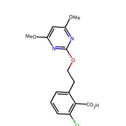 COc1cc(OC)nc(OCCc2cccc(Cl)c2C(=O)O)n1